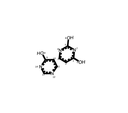 Oc1ccnc(O)n1.Oc1ccncn1